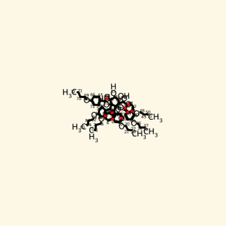 CCCCOc1ccc(C(=O)O[C@@]2(C(=O)c3ccc(OCCCC)cc3)[C@@](OC(=O)c3ccc(OCCCC)cc3)(C(=O)c3ccc(OCCCC)cc3)[C@@H](O)[C@H](O)[C@@H](O)[C@@]2(OC(=O)c2ccc(OCCCC)cc2)C(=O)c2ccc(OCCCC)cc2)cc1